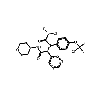 O=C(NC1CCOCC1)C(c1cncnc1)N(C(=O)[C@H](F)Cl)c1ccc(OC(F)(F)Cl)cc1